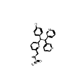 O=[SH](=O)NCc1cccc(C(c2ccc(Cl)cc2)C(c2cccnc2)c2cccnc2)n1